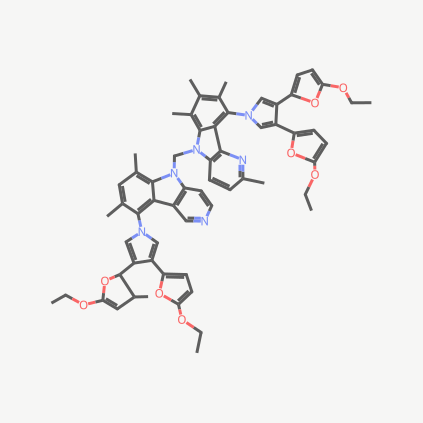 CCOC1=CC(C)C(c2cn(-c3c(C)cc(C)c4c3c3cnccc3n4Cn3c4ccc(C)nc4c4c(-n5cc(-c6ccc(OCC)o6)c(-c6ccc(OCC)o6)c5)c(C)c(C)c(C)c43)cc2-c2ccc(OCC)o2)O1